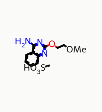 COCCOc1nc(N)c2ccccc2n1.CS(=O)(=O)O